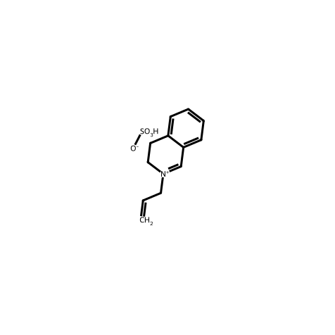 C=CC[N+]1=Cc2ccccc2CC1.O=S(=O)([O-])O